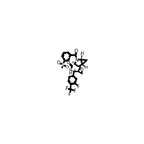 CS(=O)(=O)c1cccc(C(=O)N2[C@@H](C(=O)N[C@@H](c3ccc(C(F)(F)F)c(F)c3)C3COC3)C[C@H]3C[C@H]32)c1